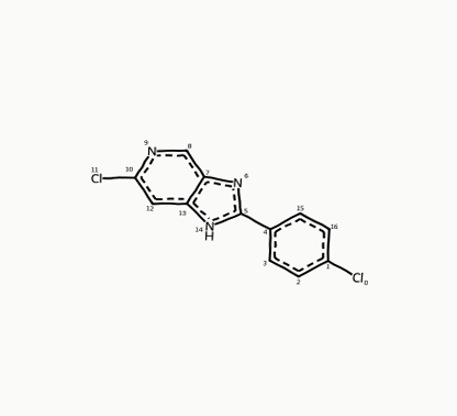 Clc1ccc(-c2nc3cnc(Cl)cc3[nH]2)cc1